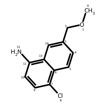 COCc1ccc2c(Cl)ccc(N)c2c1